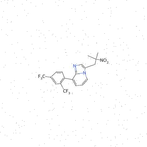 CC(C)(Cc1cnc2c(-c3ccc(C(F)(F)F)cc3C(F)(F)F)cccn12)[N+](=O)[O-]